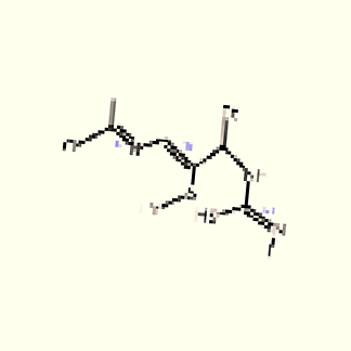 CCC(N/C(S)=N/I)/C(=C/N=C(\C)Cl)SC(C)C